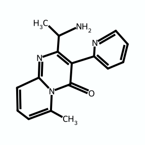 Cc1cccc2nc(C(C)N)c(-c3ccccn3)c(=O)n12